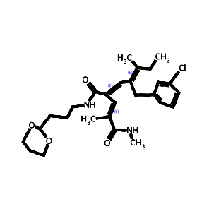 CC/C(C)=C(/C=C(\C=C(/C)C(=O)NC)C(=O)NCCCC1OCCCO1)Cc1cccc(Cl)c1